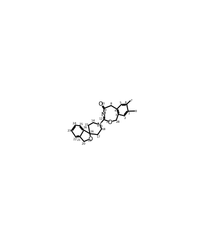 Cc1cc2c(cc1C)CC(=O)/N=C(/N1CCC3(CC1)OCc1ccccc13)OC2